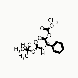 COC(=O)OC(=O)[C@@H](NC(=O)OC(C)(C)C)c1ccccc1